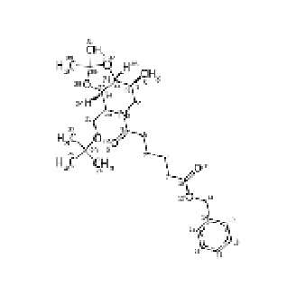 C[C@H]1CN(C(=O)CCCCC(=O)OCc2ccccc2)C(COC(C)(C)C)[C@@H]2OC(C)(C)O[C@H]12